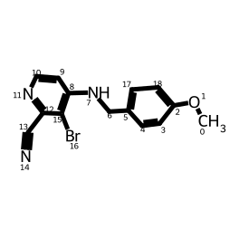 COc1ccc(CNc2ccnc(C#N)c2Br)cc1